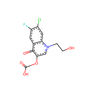 O=C(O)Oc1cn(CCO)c2cc(Cl)c(F)cc2c1=O